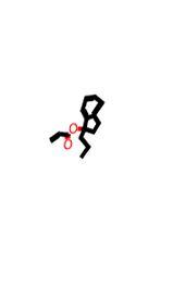 C=CC(=O)OC1(CCC)CCc2ccccc21